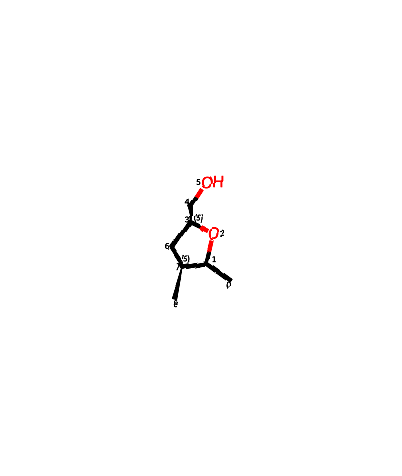 CC1O[C@H](CO)C[C@@H]1C